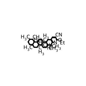 CCOc1nc2c(cc1C#N)C[C@]1(C)[C@H]3CC=C4[C@@H]5[C@@H](C)[C@H](C)CC[C@]5(C)CC[C@@]4(C)[C@]3(C)CC[C@H]1C2(C)C